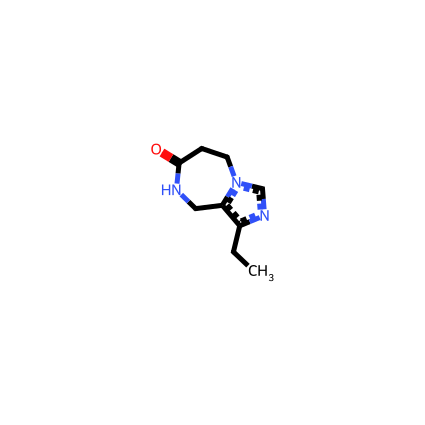 CCc1ncn2c1CNC(=O)CC2